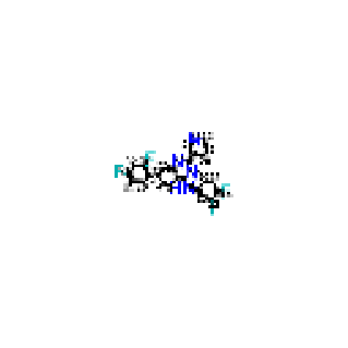 FC1=C(c2ccc3c(NC4=CC(F)C(F)C=C4)nc(-c4cccnc4)nc3c2)C=CC(F)C1